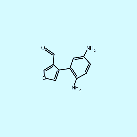 Nc1ccc(N)c(-c2cocc2C=O)c1